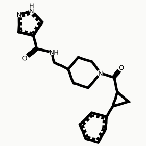 O=C(NCC1CCN(C(=O)C2CC2c2ccccc2)CC1)c1cn[nH]c1